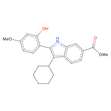 COC(=O)c1ccc2c(C3CCCCC3)c(-c3ccc(OC)cc3O)[nH]c2c1